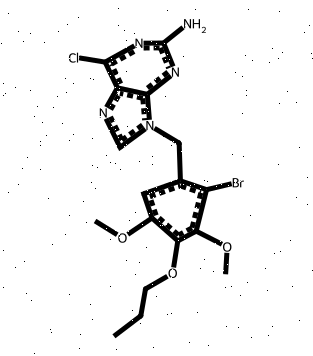 CCCOc1c(OC)cc(Cn2cnc3c(Cl)nc(N)nc32)c(Br)c1OC